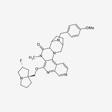 COc1ccc(CN2C3CCC2C2C(=O)N(C)c4c(OC[C@@]56CCCN5C[C@H](F)C6)nc5cnccc5c4N2C3)cc1